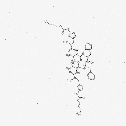 CCCCOC(=O)Nc1nc(CN(C)C(=O)N[C@H](C(=O)N[C@@H](Cc2ccccc2)C[C@H](O)[C@H](Cc2ccccc2)NC(=O)[C@@H](NC(=O)N(C)Cc2csc(NC(=O)OCCCC)n2)C(C)C)C(C)C)cs1